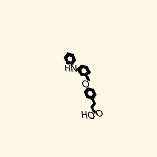 O=C(O)CCc1ccc(OCc2cccc(Nc3ccccc3)c2)cc1